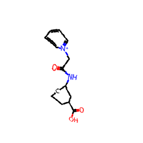 O=C(C[n+]1ccccc1)NC1CCCC(C(=O)O)C1